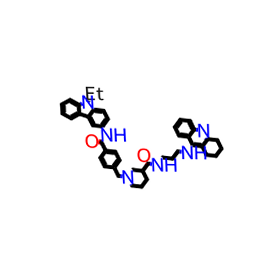 CCn1c2ccccc2c2cc(NC(=O)c3ccc(CN4CCCC(C(=O)NCCCNc5c6c(nc7ccccc57)CCCC6)C4)cc3)ccc21